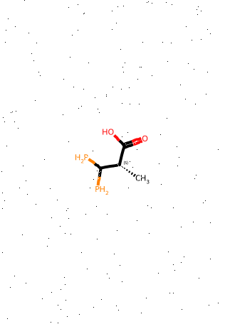 C[C@@H](C(=O)O)C(P)P